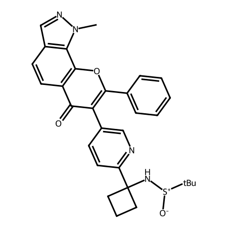 Cn1ncc2ccc3c(=O)c(-c4ccc(C5(N[S+]([O-])C(C)(C)C)CCC5)nc4)c(-c4ccccc4)oc3c21